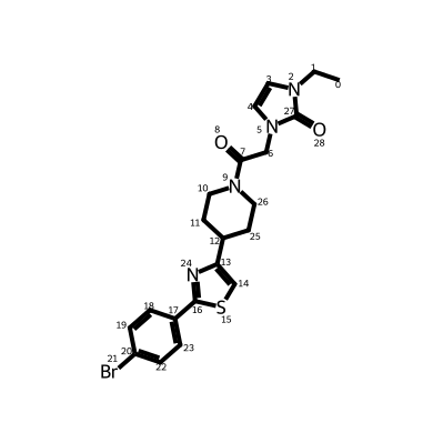 CCn1ccn(CC(=O)N2CCC(c3csc(-c4ccc(Br)cc4)n3)CC2)c1=O